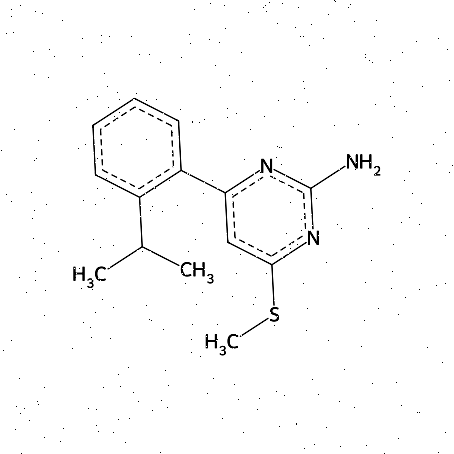 CSc1cc(-c2ccccc2C(C)C)nc(N)n1